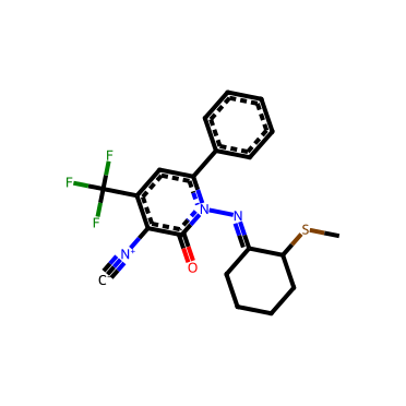 [C-]#[N+]c1c(C(F)(F)F)cc(-c2ccccc2)n(/N=C2\CCCCC2SC)c1=O